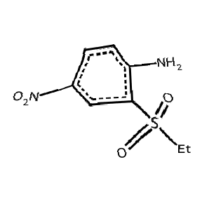 CCS(=O)(=O)c1cc([N+](=O)[O-])ccc1N